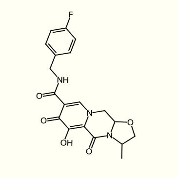 CC1COC2Cn3cc(C(=O)NCc4ccc(F)cc4)c(=O)c(O)c3C(=O)N12